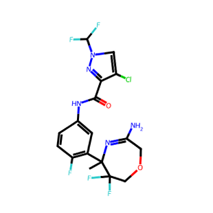 CC1(c2cc(NC(=O)c3nn(C(F)F)cc3Cl)ccc2F)N=C(N)COCC1(F)F